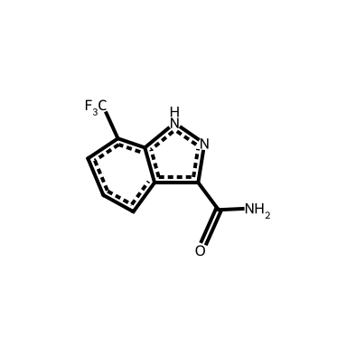 NC(=O)c1n[nH]c2c(C(F)(F)F)cccc12